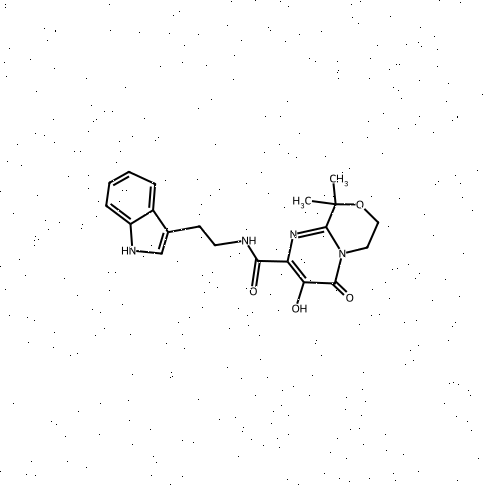 CC1(C)OCCn2c1nc(C(=O)NCCc1c[nH]c3ccccc13)c(O)c2=O